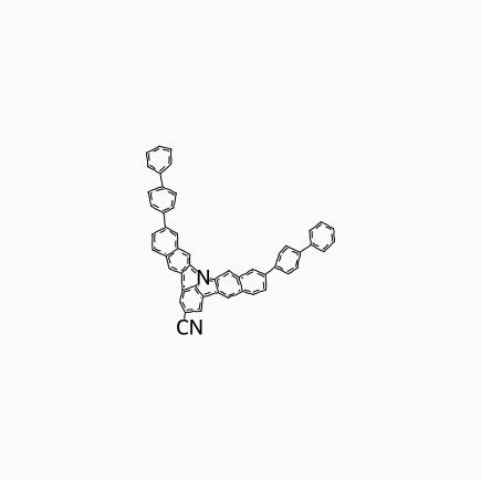 N#Cc1cc2c3cc4ccc(-c5ccc(-c6ccccc6)cc5)cc4cc3n3c4cc5cc(-c6ccc(-c7ccccc7)cc6)ccc5cc4c(c1)c23